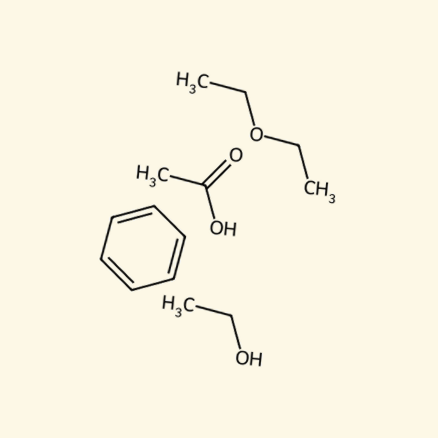 CC(=O)O.CCO.CCOCC.c1ccccc1